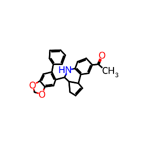 CC(=O)c1ccc2c(c1)C1C=CCC1C(c1cc3c(cc1-c1ccccc1)OCO3)N2